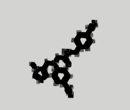 Cn1cncc1CN(CC(=O)NCc1ccc(C#N)cc1)c1ccc(C#N)cc1